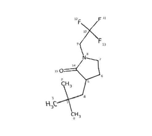 CC(C)(C)CC1CCN(CC(F)(F)F)C1=O